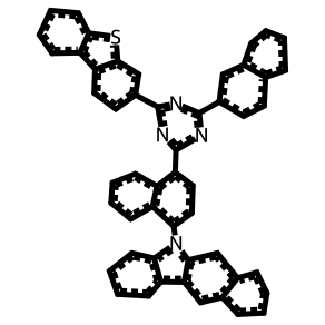 c1ccc2cc(-c3nc(-c4ccc5c(c4)sc4ccccc45)nc(-c4ccc(-n5c6ccccc6c6cc7ccccc7cc65)c5ccccc45)n3)ccc2c1